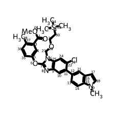 COC(=O)c1cc(Oc2nc3cc(-c4ccc5c(ccn5C)c4)c(Cl)cc3n2COCC[Si](C)(C)C)ccc1C